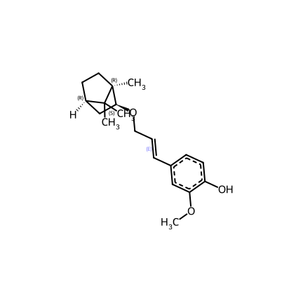 COc1cc(/C=C/CO[C@H]2C[C@H]3CC[C@]2(C)C3(C)C)ccc1O